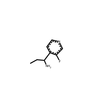 CCC(N)c1ccncc1F